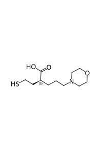 O=C(O)[C@H](CCS)CCCN1CCOCC1